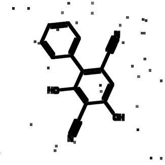 N#Cc1cc(O)c(C#N)c(O)c1-c1ccccc1